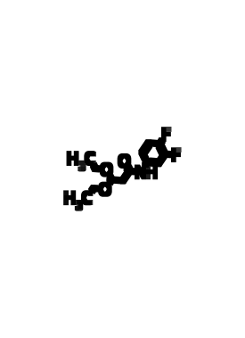 CCOC(CC(=O)Nc1ccc(F)c(F)c1)OCC